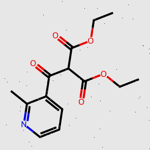 CCOC(=O)C(C(=O)OCC)C(=O)c1cccnc1C